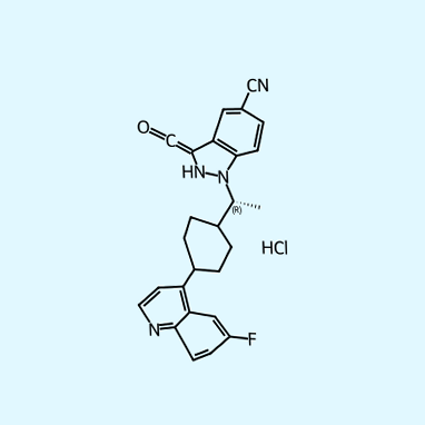 C[C@H](C1CCC(c2ccnc3ccc(F)cc23)CC1)N1NC(=C=O)c2cc(C#N)ccc21.Cl